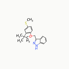 CSc1ccc(OCc2n[nH]c3ccccc23)c(C(C)(C)C)c1